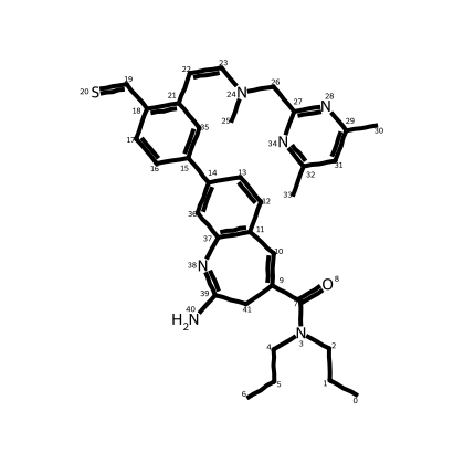 CCCN(CCC)C(=O)C1=Cc2ccc(-c3ccc(C=S)c(/C=C\N(C)Cc4nc(C)cc(C)n4)c3)cc2N=C(N)C1